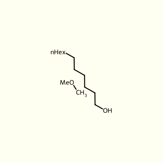 CCCCCCCCCCCCO.COC